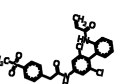 C=CC(=O)Nc1ccccc1-c1c(Cl)cc(NC(=O)Cc2ccc(S(C)(=O)=O)cc2)cc1Cl